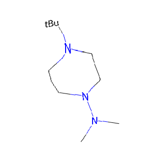 CN(C)N1CCN(C(C)(C)C)CC1